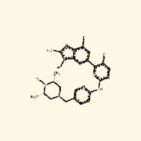 CCN1[C@H](C)CN(Cc2ccc(Nc3ncc(F)c(-c4cc(F)c5nc(C)n(C(C)C)c5c4)n3)nc2)C[C@@H]1C